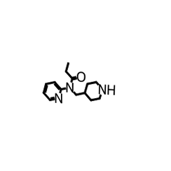 CCC(=O)N(CC1CCNCC1)c1ccccn1